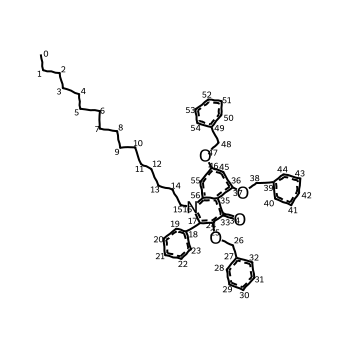 CCCCCCCCCCCCCCCCn1c(-c2ccccc2)c(OCc2ccccc2)c(=O)c2c(OCc3ccccc3)cc(OCc3ccccc3)cc21